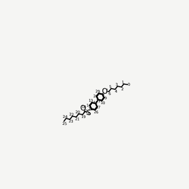 CCCCCCCOc1ccc(-c2ccc(SC(=O)CCCCCCC)cc2)cc1